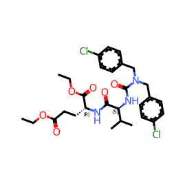 CCOC(=O)CC[C@@H](NC(=O)[C@@H](NC(=O)N(Cc1ccc(Cl)cc1)Cc1ccc(Cl)cc1)C(C)C)C(=O)OCC